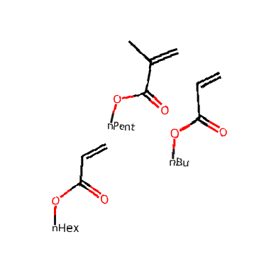 C=C(C)C(=O)OCCCCC.C=CC(=O)OCCCC.C=CC(=O)OCCCCCC